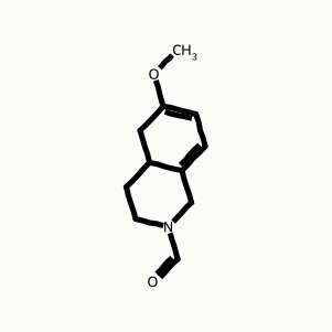 COC1=CC=C2CN(C=O)CCC2C1